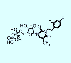 O=c1c(C(F)(F)F)cn([C@@H]2O[C@H](COP(=O)(O)OP(=O)(O)O)[C@H](O)[C@@H]2O)c(=O)n1CCc1ccc(F)cc1F